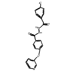 O=C(NNC(=O)c1ccc(Oc2cccnc2)cc1)c1ccc(Cl)cc1